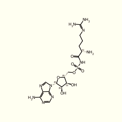 NC(N)=NCCC[C@H](N)C(=O)NS(=O)(=O)OC[C@H]1O[C@@H](n2cnc3c(N)ncnc32)[C@H](O)[C@@H]1O